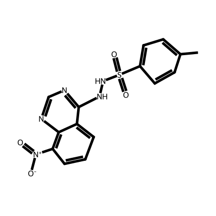 Cc1ccc(S(=O)(=O)NNc2ncnc3c([N+](=O)[O-])cccc23)cc1